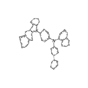 c1ccc(-c2ccc(N(c3ccc(-n4c5ccccc5c5cc6ccccc6cc54)cc3)c3cccc4ccccc34)cc2)cc1